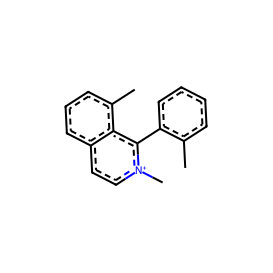 Cc1ccccc1-c1c2c(C)cccc2cc[n+]1C